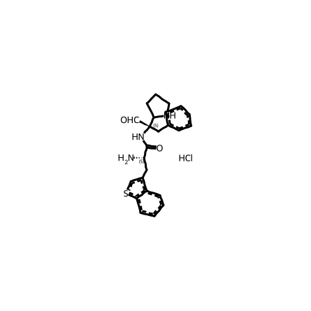 Cl.N[C@@H](Cc1csc2ccccc12)C(=O)N[C@@](C=O)(Cc1ccccc1)C1CCCN1